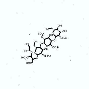 CC(=O)N[C@H]1[C@@H](O[C@@H](CO)C(O[C@H](O)CO)C(=O)O)O[C@H](CO)[C@@H](O[C@@H]2OC(C(=O)O)[C@@H](O[C@H]3O[C@H](CO)[C@@H](O)[C@H](O)[C@H]3NC(C)=O)[C@H](O)[C@H]2OS(=O)(=O)O)[C@@H]1O